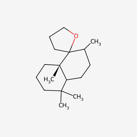 CC1CCC2C(C)(C)CCC[C@]2(C)C12CCCO2